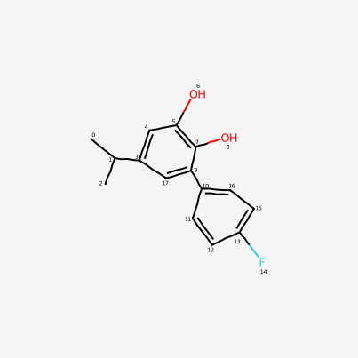 CC(C)c1cc(O)c(O)c(-c2ccc(F)cc2)c1